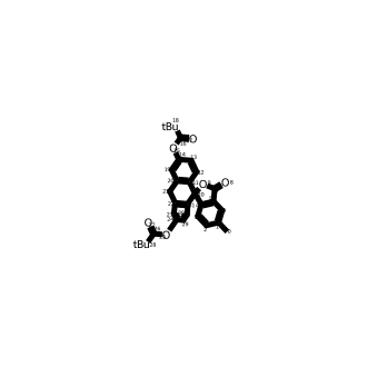 Cc1ccc2c(c1)C(=O)OC21c2ccc(OC(=O)C(C)(C)C)cc2Cc2cc(OC(=O)C(C)(C)C)ccc21